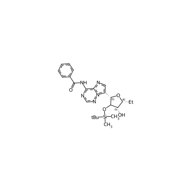 CC[C@H]1O[C@@H](c2cnc3c(NC(=O)c4ccccc4)ncnn23)C(O[Si](C)(C)C(C)(C)C)[C@H]1O